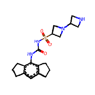 O=C(Nc1c2c(cc3c1CCC3)CCC2)NS(=O)(=O)C1CN(C2CNC2)C1